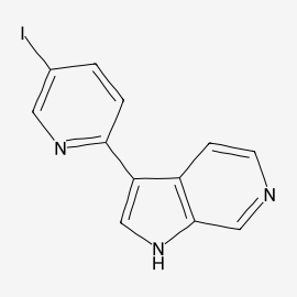 Ic1ccc(-c2c[nH]c3cnccc23)nc1